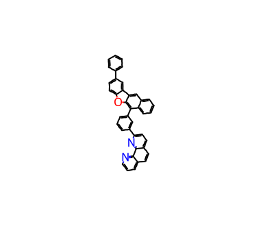 c1ccc(-c2ccc3oc4c(-c5cccc(-c6ccc7ccc8cccnc8c7n6)c5)c5ccccc5cc4c3c2)cc1